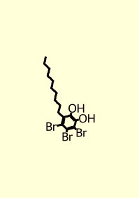 CCCCCCCCCCc1c(O)c(O)c(Br)c(Br)c1Br